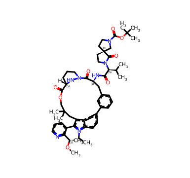 CCn1c(-c2cccnc2[C@H](C)OC)c2c3cc(ccc31)-c1cccc(c1)C[C@H](NC(=O)[C@H](C(C)C)N1CC[C@]3(CCN(C(=O)OC(C)(C)C)C3)C1=O)C(=O)N1CCC[C@H](N1)C(=O)OCC(C)(C)C2